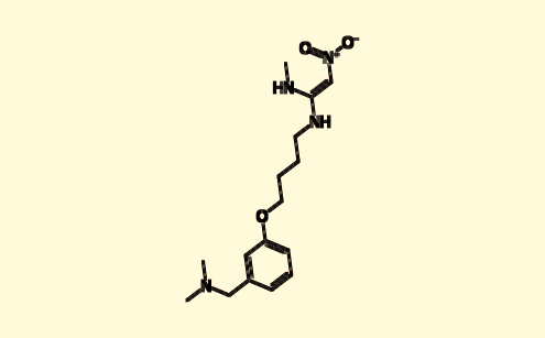 CNC(=C[N+](=O)[O-])NCCCCOc1cccc(CN(C)C)c1